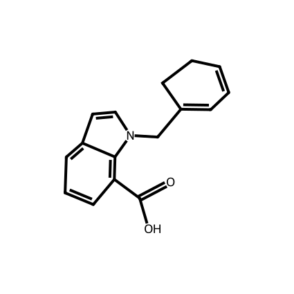 O=C(O)c1cccc2ccn(CC3=CC=CCC3)c12